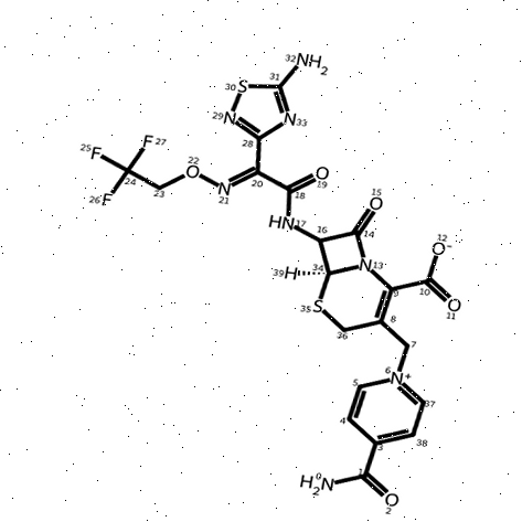 NC(=O)c1cc[n+](CC2=C(C(=O)[O-])N3C(=O)C(NC(=O)C(=NOCC(F)(F)F)c4nsc(N)n4)[C@@H]3SC2)cc1